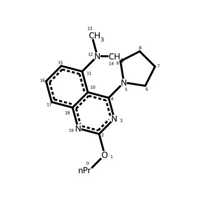 CCCOc1nc(N2CCCC2)c2c(N(C)C)cccc2n1